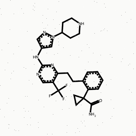 NC(=O)C1(c2ccccc2CCc2nc(Nc3cnn(C4CCNCC4)c3)ncc2C(F)(F)F)CC1